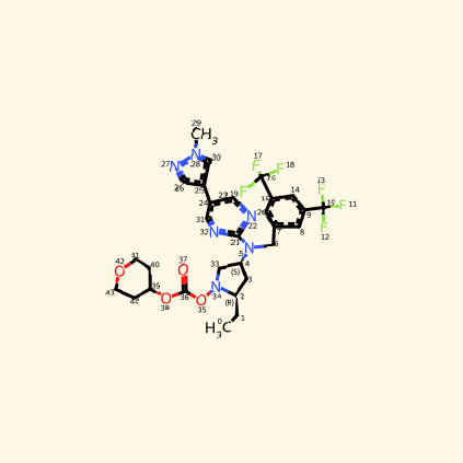 CC[C@@H]1C[C@H](N(Cc2cc(C(F)(F)F)cc(C(F)(F)F)c2)c2ncc(-c3cnn(C)c3)cn2)CN1OC(=O)OC1CCOCC1